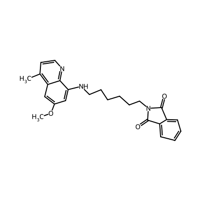 COc1cc(NCCCCCCN2C(=O)c3ccccc3C2=O)c2nccc(C)c2c1